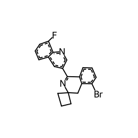 Fc1cccc2cc(C3=NC4(CCC4)Cc4c(Br)cccc43)cnc12